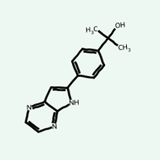 CC(C)(O)c1ccc(-c2cc3nccnc3[nH]2)cc1